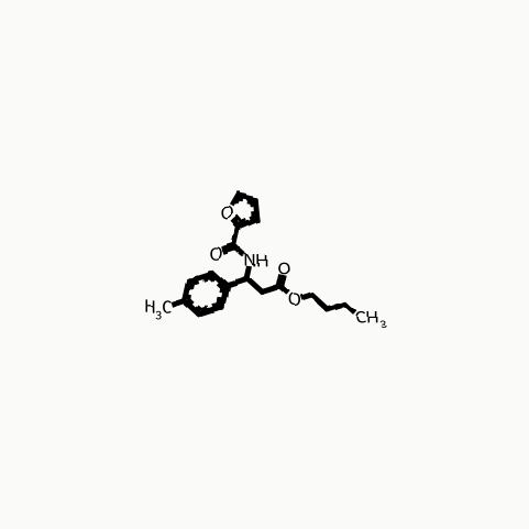 CCCCOC(=O)CC(NC(=O)c1ccco1)c1ccc(C)cc1